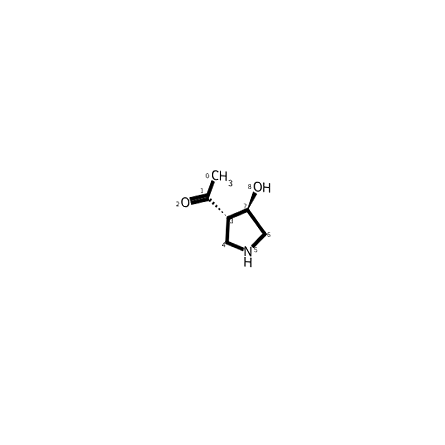 CC(=O)[C@H]1CNC[C@@H]1O